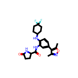 Cc1noc(C)c1-c1ccc(NC2CCC(F)(F)CC2)c(NC(=O)C2CCC(=O)N2)c1